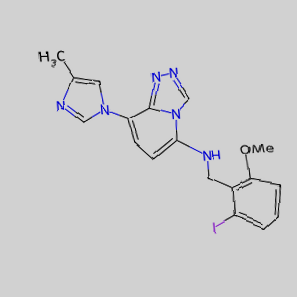 COc1cccc(I)c1CNc1ccc(-n2cnc(C)c2)c2nncn12